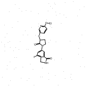 CCOc1ccc(OC2CCN(c3cc(F)c4c(c3)C(=O)NC4)C2=O)cn1